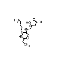 CCC(=O)N[C@@H](CCCCN)C(=O)NC[C@@H](O)CC(=O)O